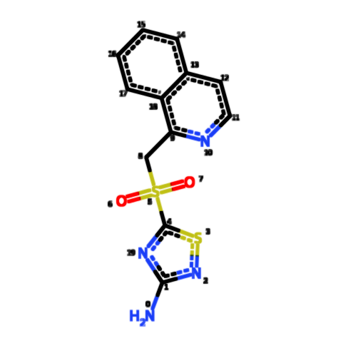 Nc1nsc(S(=O)(=O)Cc2nccc3ccccc23)n1